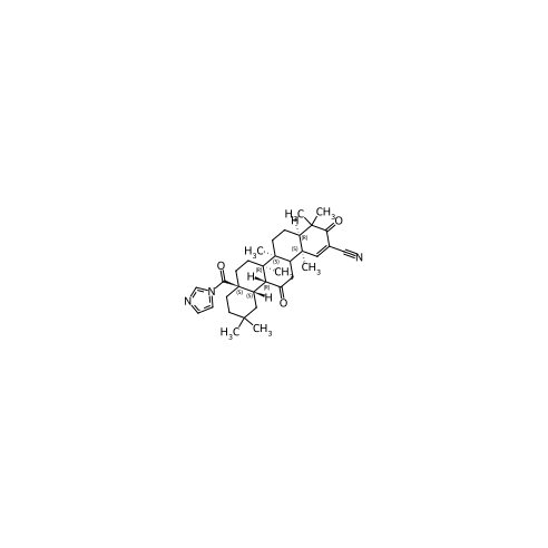 CC1(C)CC[C@]2(C(=O)n3ccnc3)CC[C@]3(C)[C@H](C(=O)CC4[C@]5(C)C=C(C#N)C(=O)C(C)(C)[C@@H]5CC[C@@]43C)[C@@H]2C1